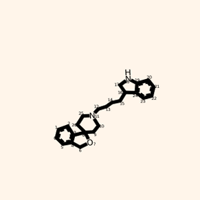 c1ccc2c(c1)COC21CCN(CCCCC2CNc3ccccc32)CC1